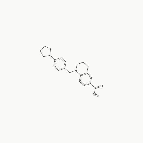 NC(=O)c1ccc2c(c1)CCCN2Cc1ccc(C2CCCC2)cc1